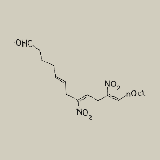 CCCCCCCC/C=C(/C/C=C(/C/C=C/CCC[C]=O)[N+](=O)[O-])[N+](=O)[O-]